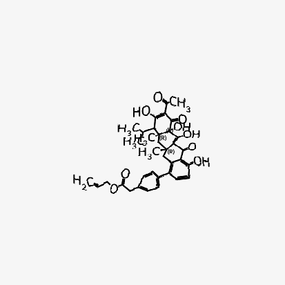 C=CCOC(=O)Cc1ccc(-c2ccc(O)c3c2C[C@]2(C)C[C@]4(C)C(C(C)C)C(O)=C(C(C)=O)C(=O)[C@]4(O)C(O)=C2C3=O)cc1